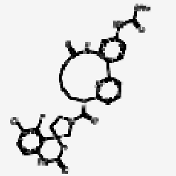 COC(=O)Nc1ccc2c(c1)NC(=O)CCCC[C@H](C(=O)N1CC[C@@]3(C1)OC(=O)Nc1ccc(Cl)c(F)c13)c1cccc-2n1